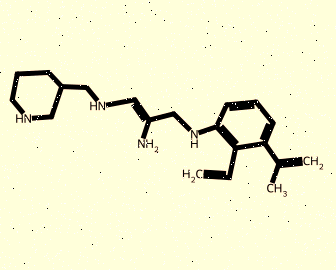 C=Cc1c(NC/C(N)=C/NCC2CCCNC2)cccc1C(=C)C